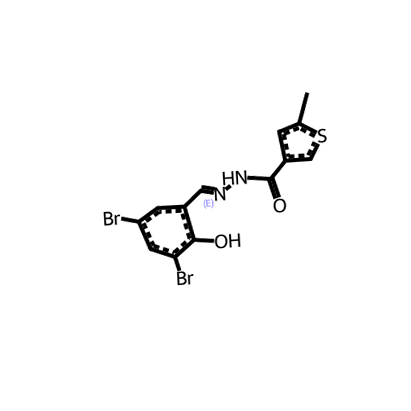 Cc1cc(C(=O)N/N=C/c2cc(Br)cc(Br)c2O)cs1